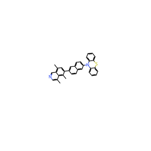 Cc1cc(-c2ccc3cc(N4c5ccccc5Sc5ccccc54)ccc3c2)c(C)c2c(C)cncc12